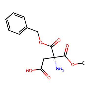 COC(=O)[C@@](N)(CC(=O)O)C(=O)OCc1ccccc1